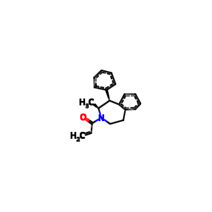 C=CC(=O)N1CCc2ccccc2[C@H](c2ccccc2)[C@@H]1C